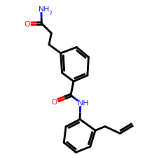 C=CCc1ccccc1NC(=O)c1cccc(CCC(N)=O)c1